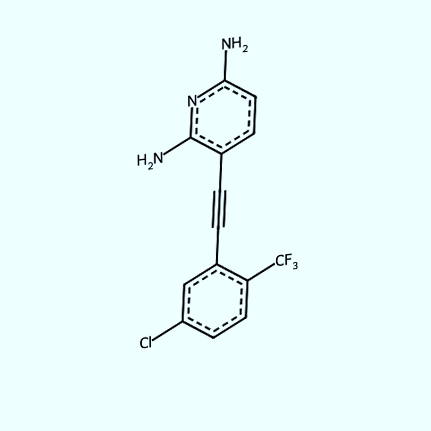 Nc1ccc(C#Cc2cc(Cl)ccc2C(F)(F)F)c(N)n1